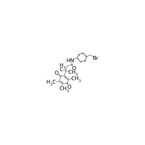 CC1=C(C)C(=O)C(C(C)(C)CC(=O)Nc2ccc(CBr)cc2)=C(C)C1=O